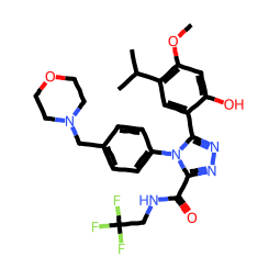 COc1cc(O)c(-c2nnc(C(=O)NCC(F)(F)F)n2-c2ccc(CN3CCOCC3)cc2)cc1C(C)C